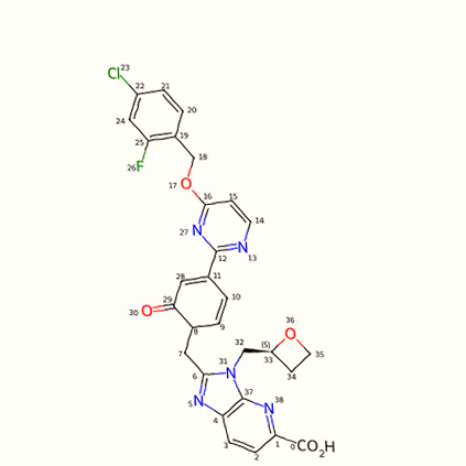 O=C(O)c1ccc2nc(CC3C=CC(c4nccc(OCc5ccc(Cl)cc5F)n4)=CC3=O)n(C[C@@H]3CCO3)c2n1